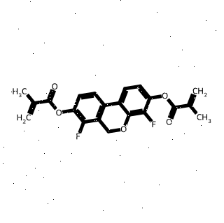 C=C(C)C(=O)Oc1ccc2c(c1F)COc1c-2ccc(OC(=O)C(=C)C)c1F